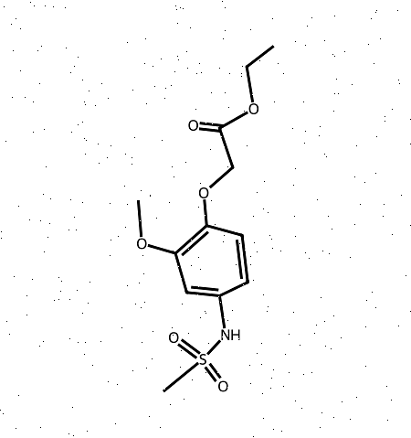 CCOC(=O)COc1ccc(NS(C)(=O)=O)cc1OC